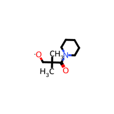 CC(C)(C[O])C(=O)N1CCCCC1